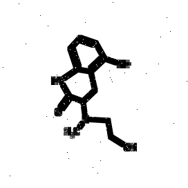 CN(CCO)C1Cc2c([NH])cccc2NC1=O